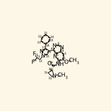 COc1cc2ncnc(-c3cn(CC(F)F)nc3-c3ccccc3)c2nc1NC(=O)[C@H]1CCN1C